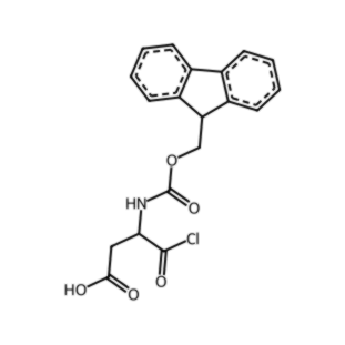 O=C(O)CC(NC(=O)OCC1c2ccccc2-c2ccccc21)C(=O)Cl